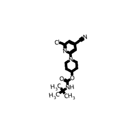 CC(C)(C)NC(=O)OC1CCN(c2cc(C#N)cc(Cl)n2)CC1